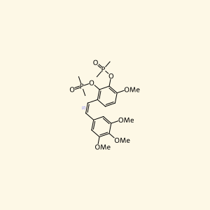 COc1cc(/C=C\c2ccc(OC)c(OP(C)(C)=O)c2OP(C)(C)=O)cc(OC)c1OC